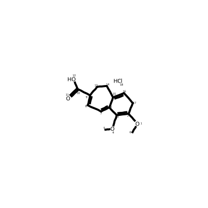 COC1=C(OC)C2=CC=C(C(=O)O)CCC2=CC1.Cl